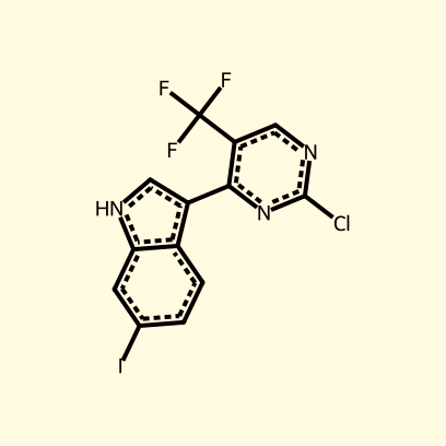 FC(F)(F)c1cnc(Cl)nc1-c1c[nH]c2cc(I)ccc12